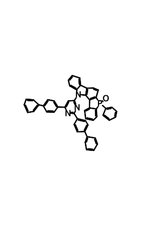 O=P1(c2ccccc2)c2ccccc2-c2c1ccc1c3ccccc3n(-c3cc(-c4ccc(-c5ccccc5)cc4)nc(-c4ccc(-c5ccccc5)cc4)n3)c21